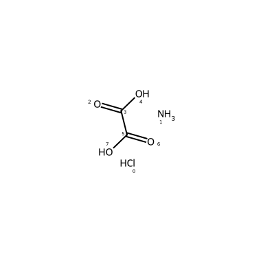 Cl.N.O=C(O)C(=O)O